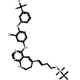 CC(C)(C)[Si](C)(C)OCC/C=C/C1=Cc2c(ncnc2Nc2ccc(Oc3cccc(C(F)(F)F)c3)c(Cl)c2)NCC1